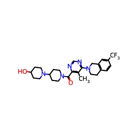 Cc1c(C(=O)N2CCC(N3CCC(O)CC3)CC2)ncnc1N1CCc2ccc(C(F)(F)F)cc2C1